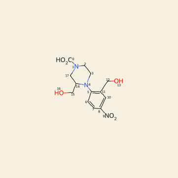 O=C(O)N1CCN(c2ccc([N+](=O)[O-])cc2CO)C(CO)C1